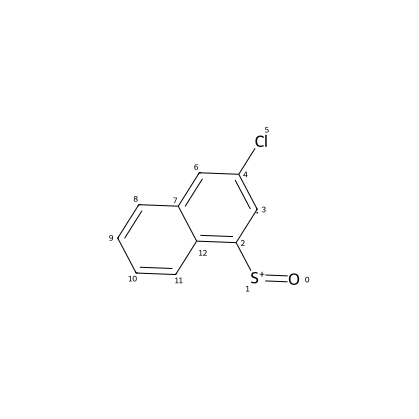 O=[S+]c1[c]c(Cl)cc2ccccc12